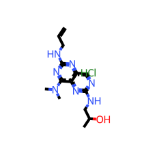 C=CCNc1nc(N(C)C)c2nc(NCC(C)O)ncc2n1.Cl